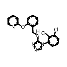 Clc1cccc(-n2cnnc2NCc2ccccc2Oc2ccccn2)c1Cl